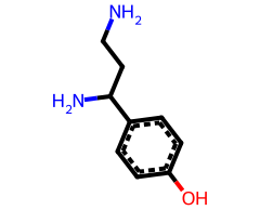 NCCC(N)c1ccc(O)cc1